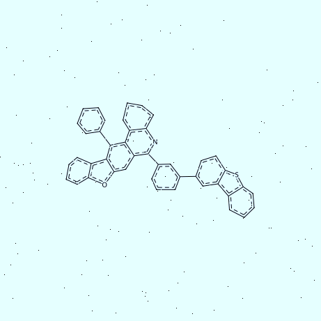 c1ccc(-c2c3c(cc4c(-c5cccc(-c6ccc7sc8ccccc8c7c6)c5)nc5ccccc5c24)oc2ccccc23)cc1